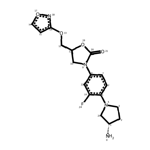 N[C@H]1CCN(c2ccc(N3CC(COc4ccon4)OC3=O)cc2F)C1